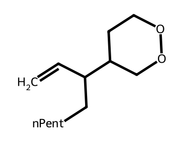 C=CC(CCCCCC)C1CCOOC1